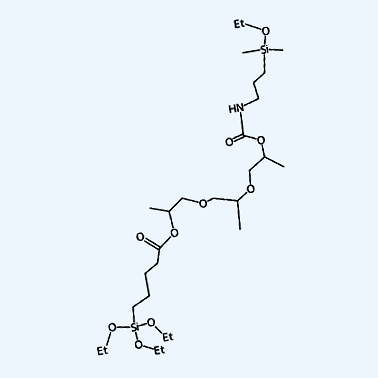 CCO[Si](C)(C)CCCNC(=O)OC(C)COC(C)COCC(C)OC(=O)CCCC[Si](OCC)(OCC)OCC